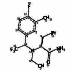 Cc1cc(C(N(CC#N)[C@@H](CC(C)C)C(N)=O)C(F)(F)F)ccc1F